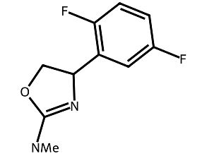 CNC1=NC(c2cc(F)ccc2F)CO1